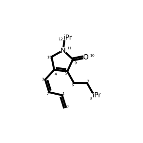 C=C/C=C\C1=C(CCC(C)C)C(=O)N(C(C)C)C1